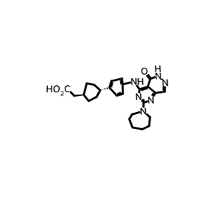 O=C(O)C[C@H]1CC[C@H](c2ccc(Nc3nc(N4CCCCCC4)nc4cn[nH]c(=O)c34)cc2)CC1